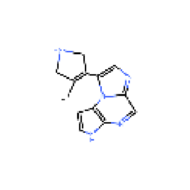 CCC1=C(c2cnc3cnc4[nH]ccc4n23)CNC1